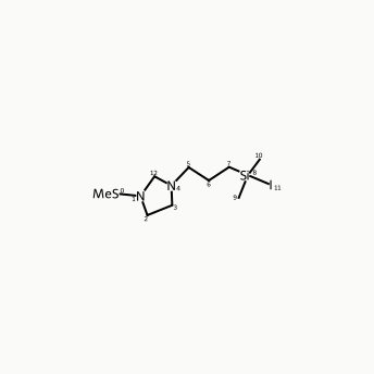 CSN1CCN(CCC[Si](C)(C)I)C1